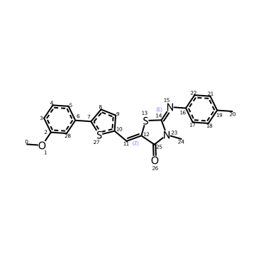 COc1cccc(-c2ccc(/C=C3\S/C(=N/c4ccc(C)cc4)N(C)C3=O)s2)c1